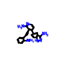 Nc1ccccc1C#Cc1c(-c2ccc3[nH]nc(N)c3c2)ccnc1N